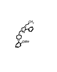 C=CCN1CN(CN2CCN(c3ccccc3OC)CC2)N=C1c1ccccc1